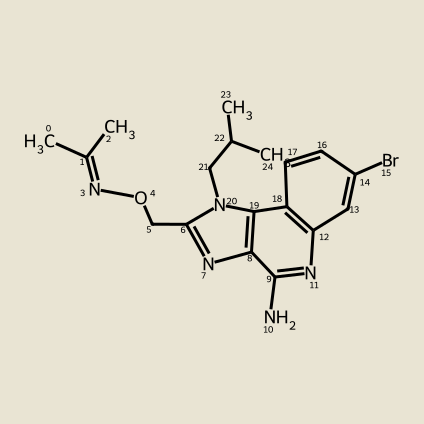 CC(C)=NOCc1nc2c(N)nc3cc(Br)ccc3c2n1CC(C)C